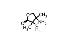 CC1(N)COC(=O)C1(C)C